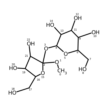 COC1(OC2OC(CO)C(O)C(O)C2O)OC(CO)C(O)C1O